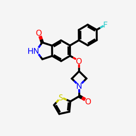 O=C1NCc2cc(OC3CN(C(=O)c4cccs4)C3)c(-c3ccc(F)cc3)cc21